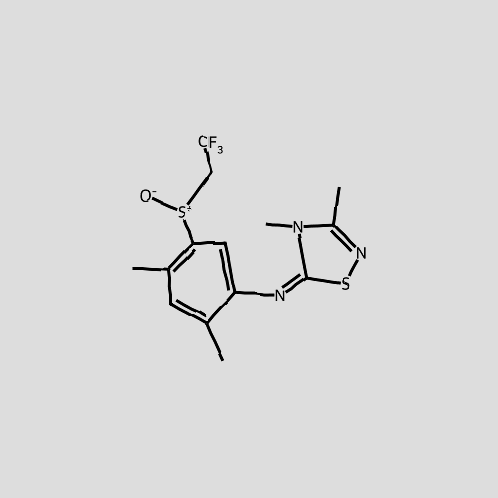 Cc1cc(C)c([S+]([O-])CC(F)(F)F)cc1/N=c1/snc(C)n1C